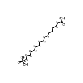 O=C(O)CCCCCCCCCCCCCCCCP(=O)(O)O